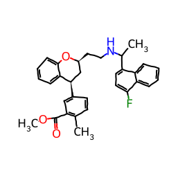 COC(=O)c1cc([C@@H]2C[C@H](CCNC(C)c3ccc(F)c4ccccc34)Oc3ccccc32)ccc1C